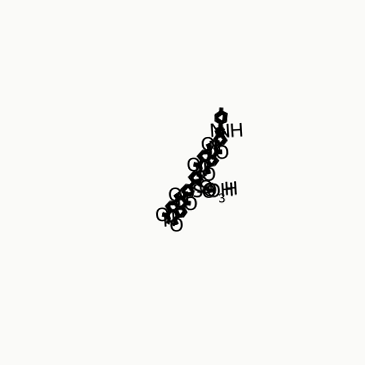 Cc1ccc(-c2nc3cc(N4C(=O)c5ccc6c7c(ccc(c57)C4=O)C(=O)N(c4ccc(-c5ccc(N7C(=O)c8ccc9c%10c(ccc(c8%10)C7=O)C(=O)N(C)C9=O)cc5S(=O)(=O)O)c(SOOO)c4)C6=O)ccc3[nH]2)cc1